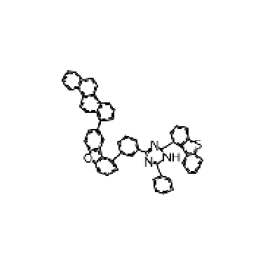 c1ccc(C2=NC(c3cccc(-c4cccc5oc6ccc(-c7cccc8c7ccc7c9ccccc9ccc87)cc6c45)c3)=NC(c3cccc4sc5ccccc5c34)N2)cc1